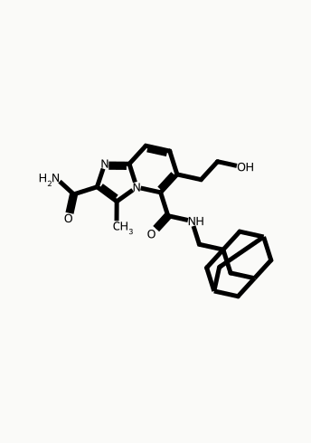 Cc1c(C(N)=O)nc2ccc(CCO)c(C(=O)NCC34CC5CC(CC(C5)C3)C4)n12